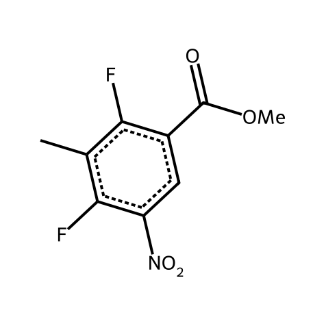 COC(=O)c1cc([N+](=O)[O-])c(F)c(C)c1F